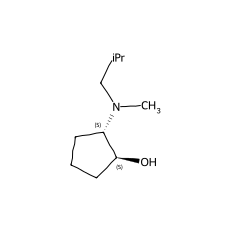 CC(C)CN(C)[C@H]1CCC[C@@H]1O